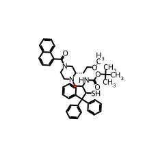 COCC[C@H]1CN(C(=O)c2cccc3ccccc23)CCN1CC(NC(=O)OC(C)(C)C)C(S)C(c1ccccc1)(c1ccccc1)c1ccccc1